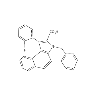 O=C(O)c1c(-c2ccccc2F)c2c3ccccc3ccc2n1Cc1ccccc1